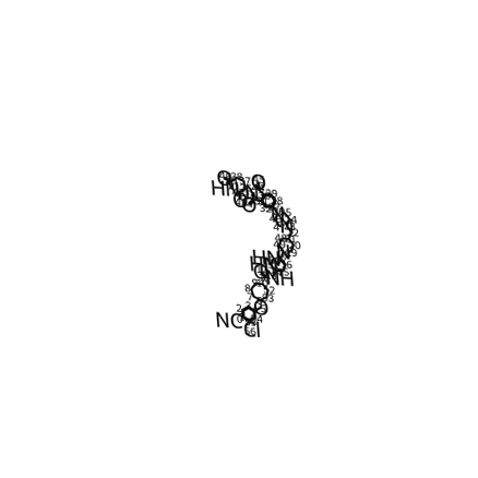 N#Cc1ccc(O[C@H]2CCC[C@H](C(=O)NC3=CC=C(N4CCC(CN5CCN(c6ccc7c(c6)C(=O)N(C6CCC(=O)NC6=O)C7=O)CC5)CC4)NN3)CC2)cc1Cl